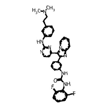 CN(C)CCc1cccc(Nc2nccc(-c3c(-c4cccc(NC(=O)Nc5c(F)cccc5F)c4)nc4ccccn34)n2)c1